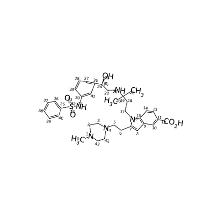 CN1CCN(CCc2cc3cc(C(=O)O)ccc3n2CCC(C)(C)NC[C@H](O)c2cccc(NS(=O)(=O)c3ccccc3)c2)CC1